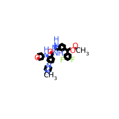 CC(=O)OCC(c1cc(F)cc(F)c1)c1ccc2[nH]nc(NC(=O)c3ccc(N4CCN(C)CC4)cc3NC3CCOCC3)c2c1